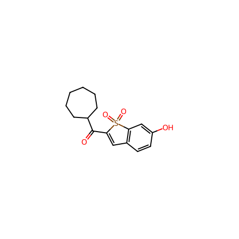 O=C(C1=Cc2ccc(O)cc2S1(=O)=O)C1CCCCCC1